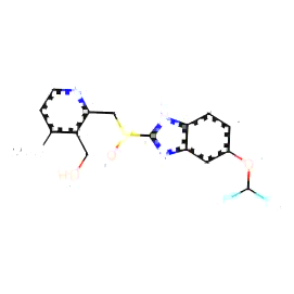 COc1ccnc(C[S+]([O-])c2nc3cc(OC(F)F)ccc3[nH]2)c1CO